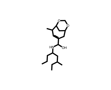 CCCC(CC(C)CC)NC(O)C1=CC(C)C2CC(C1)OCO2